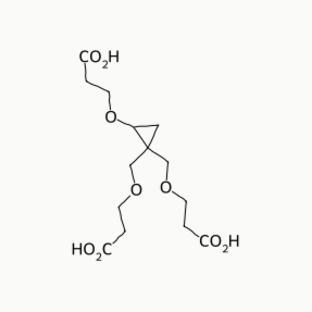 O=C(O)CCOCC1(COCCC(=O)O)CC1OCCC(=O)O